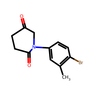 Cc1cc(N2CC(=O)CCC2=O)ccc1Br